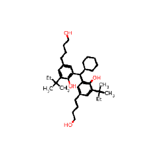 CCC(C)(C)c1cc(CCCCO)cc(C(c2cc(CCCCO)cc(C(C)(C)CC)c2O)C2CCCCC2)c1O